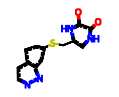 O=c1[nH]cc(CSc2ccc3ccnnc3c2)[nH]c1=O